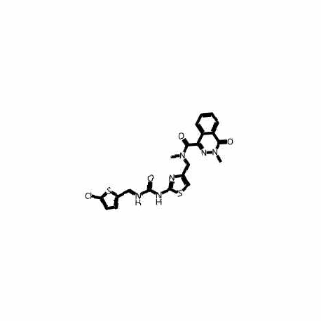 CN(Cc1csc(NC(=O)NCc2ccc(Cl)s2)n1)C(=O)c1nn(C)c(=O)c2ccccc12